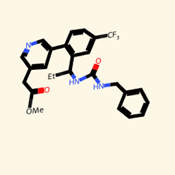 CCC(NC(=O)NCc1ccccc1)c1cc(C(F)(F)F)ccc1-c1cncc(CC(=O)OC)c1